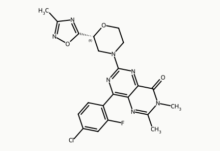 Cc1noc([C@H]2CN(c3nc(-c4ccc(Cl)cc4F)c4nc(C)n(C)c(=O)c4n3)CCO2)n1